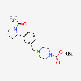 CC(C)(C)OC(=O)N1CCN(Cc2cccc(C3CCCN3C(=O)C(F)(F)F)c2)CC1